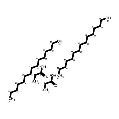 CCC(=O)O.CCC(=O)O.CCCCCCCCCCCCCCO.CCCCCCCCCCCCCCO